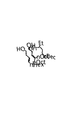 CCCCCCC=CCCO.CCCCCCCCC(=CCCO)CCCCCCCC.CCCCCCCCCCCCC(CC)CCC